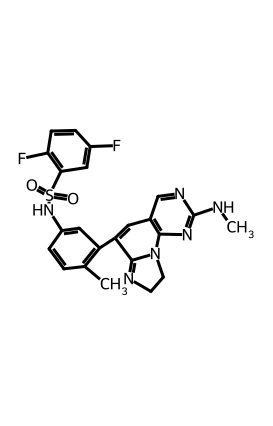 CNc1ncc2c(n1)N1CCN=C1C(c1cc(NS(=O)(=O)c3cc(F)ccc3F)ccc1C)=C2